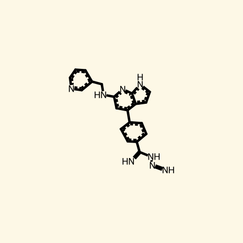 N=NNC(=N)c1ccc(-c2cc(NCc3cccnc3)nc3[nH]ccc23)cc1